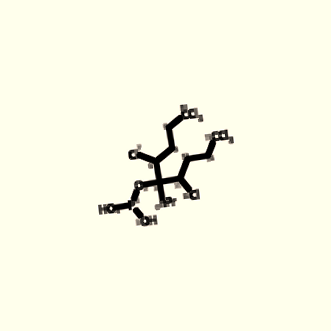 CCCC(OP(O)O)(C(Cl)CCC(Cl)(Cl)Cl)C(Cl)CCC(Cl)(Cl)Cl